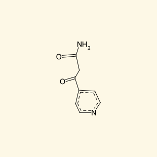 NC(=O)CC(=O)c1ccncc1